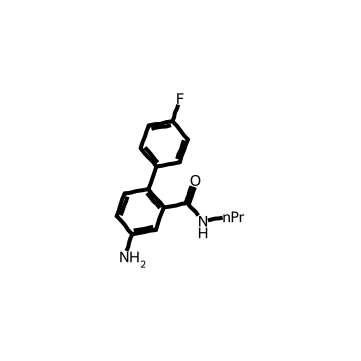 CCCNC(=O)c1cc(N)ccc1-c1ccc(F)cc1